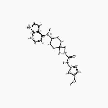 COc1nsc(NC(=O)N2CC3(CCC(N(C)c4ncnc5[nH]ccc45)CC3)C2)n1